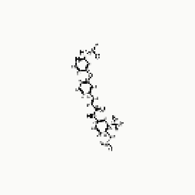 CC(=O)Nc1cc(Oc2cccc(C=CC(=O)Nc3ccc(CN(C)C)c(C(F)(F)F)c3)c2)ccn1